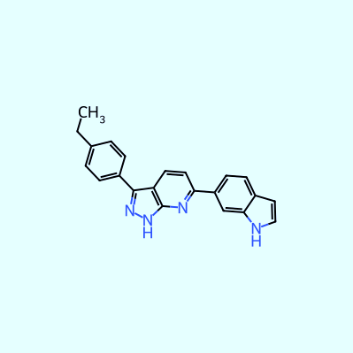 CCc1ccc(-c2n[nH]c3nc(-c4ccc5cc[nH]c5c4)ccc23)cc1